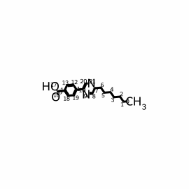 CCCCCCCc1cnc(-c2ccc(C(=O)O)cc2)cn1